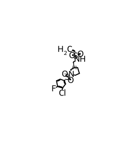 C=CS(=O)(=O)NC[C@H]1CCCN(S(=O)(=O)c2ccc(F)c(Cl)c2)C1